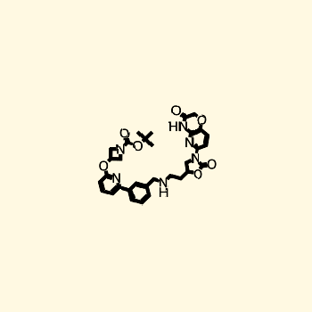 CC(C)(C)OC(=O)N1CC(Oc2cccc(-c3cccc(CNCCC4CN(c5ccc6c(n5)NC(=O)CO6)C(=O)O4)c3)n2)C1